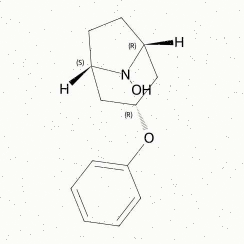 ON1[C@@H]2CC[C@H]1C[C@@H](Oc1ccccc1)C2